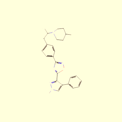 CCn1cc(-c2ccccc2)c(-c2nc(-c3ccc(CC(N4CCC(C(=O)O)CC4)C(F)(F)F)cc3)no2)n1